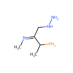 C/N=C(/CNN)C(C)P